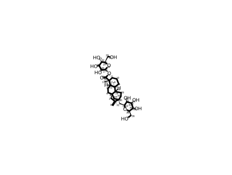 C=C1C[C@@]23CC[C@H]4[C@@](C)(CCC[C@@]4(C)C(=O)O[C@@H]4O[C@H](CO)[C@@H](O)[C@H](O)[C@H]4O)[C@@H]2CC[C@]1(C[C@@H]1O[C@H](CO)[C@@H](O)[C@H](O)[C@H]1O)C3